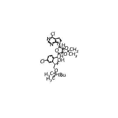 CC1(C)O[C@@H]2[C@H](O1)[C@@H](C(O)c1ccc(Cl)cc1C(F)CO[Si](C)(C)C(C)(C)C)O[C@H]2n1ccc2c(Cl)ncnc21